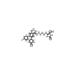 Cc1ccc(-c2nc3c(nc2-c2ccc(Cl)cc2)N(CCCCCCC2=C(O)CC(=O)C2)CCC3)cc1